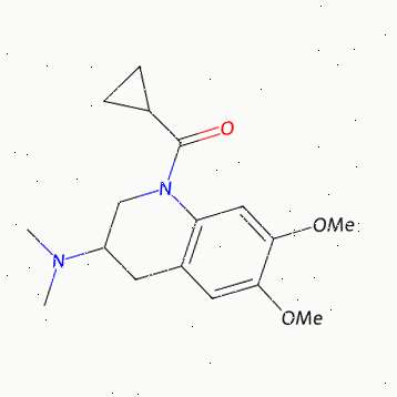 COc1cc2c(cc1OC)N(C(=O)C1CC1)CC(N(C)C)C2